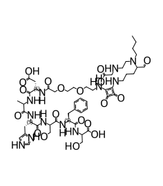 CCCCN(CCNCC(=O)O)C(C=O)CCCNc1c(NCCOCCOCC(=O)N[C@@H](CC(=O)O)C(=O)NC(C)C(=O)N[C@@H](Cc2c[nH]cn2)C(=O)NC(CO)C(=O)N[C@@H](Cc2ccccc2)C(=O)NC(CO)C(=O)O)c(=O)c1=O